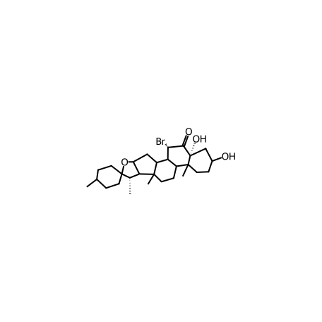 CC1CCC2(CC1)OC1CC3C4C(CCC3(C)C1[C@@H]2C)C1(C)CCC(O)C[C@]1(O)C(=O)[C@H]4Br